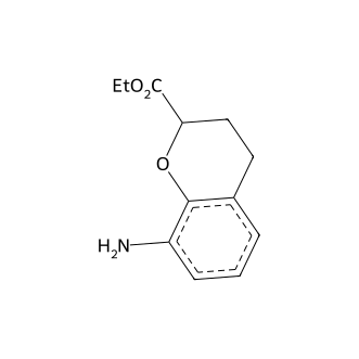 CCOC(=O)C1CCc2cccc(N)c2O1